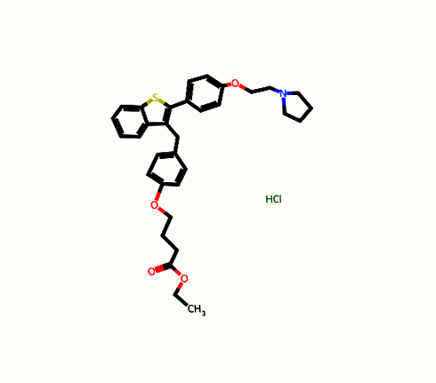 CCOC(=O)CCCOc1ccc(Cc2c(-c3ccc(OCCN4CCCC4)cc3)sc3ccccc23)cc1.Cl